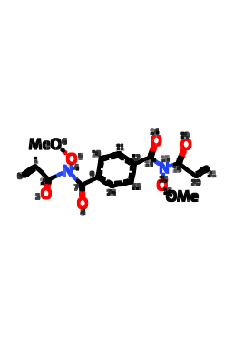 C=CC(=O)N(OOC)C(=O)c1ccc(C(=O)N(OOC)C(=O)C=C)cc1